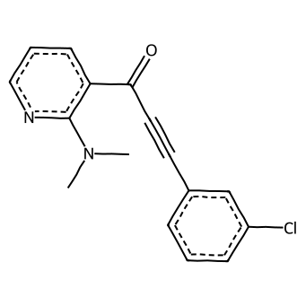 CN(C)c1ncccc1C(=O)C#Cc1cccc(Cl)c1